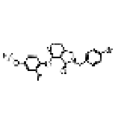 O=C1c2c(ccnc2Oc2ccc(OC(F)(F)F)cc2F)CN1Cc1ccc(Br)cc1